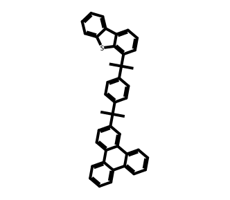 CC(C)(c1ccc(C(C)(C)c2cccc3c2sc2ccccc23)cc1)c1ccc2c3ccccc3c3ccccc3c2c1